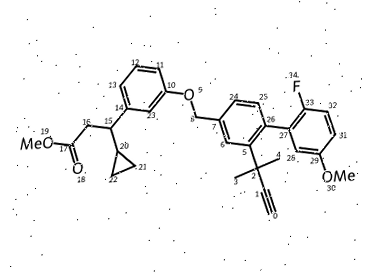 C#CC(C)(C)c1cc(COc2cccc(C(CC(=O)OC)C3CC3)c2)ccc1-c1cc(OC)ccc1F